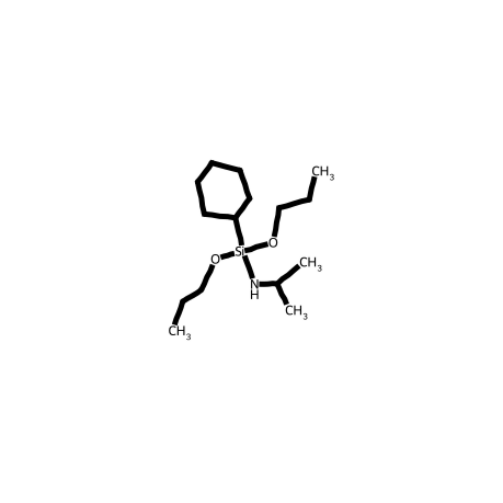 CCCO[Si](NC(C)C)(OCCC)C1CCCCC1